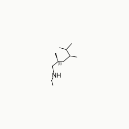 CCNC[C@@H](C)CC(C)C(C)C